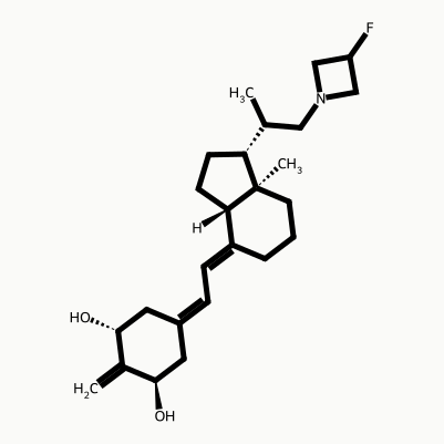 C=C1[C@H](O)CC(=CC=C2CCC[C@]3(C)[C@@H](C(C)CN4CC(F)C4)CC[C@@H]23)C[C@H]1O